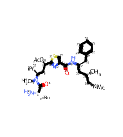 CC[C@H](C)[C@H](N)C(=O)N(C)[C@H](C[C@@H](OC(C)=O)c1nc(C(=O)N[C@@H](Cc2ccccc2)C[C@H](C)CNC)cs1)C(C)C